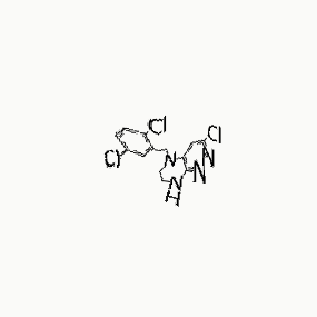 Clc1ccc(Cl)c(CN2CCNc3nnc(Cl)cc32)c1